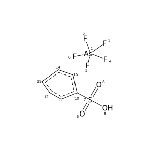 F[As](F)(F)(F)F.O=S(=O)(O)c1ccccc1